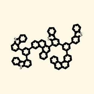 c1ccc2c(c1)ccc1ccc3ccc(-c4cc(-c5ccc6sc7ccccc7c6c5)cc(-c5cc(-c6cc7ccccc7c7c6ccc6ccc(-c8cc(-c9cccc%10sc%11ccccc%11c9%10)cc(-c9cccc%10sc%11ccccc%11c9%10)c8)cc67)c6sc7ccccc7c6c5)c4)cc3c12